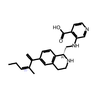 C=C(/C(C)=C\CC)c1ccc2c(c1)CCN[C@H]2CNc1cnccc1C(=O)O